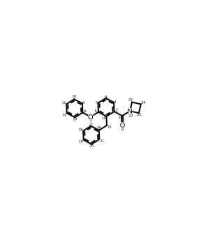 O=C(c1cccc(Oc2ccccc2)c1Cc1ccccc1)N1CCC1